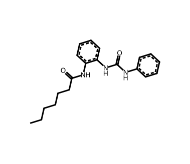 CCCCCCC(=O)Nc1ccccc1NC(=O)Nc1ccccc1